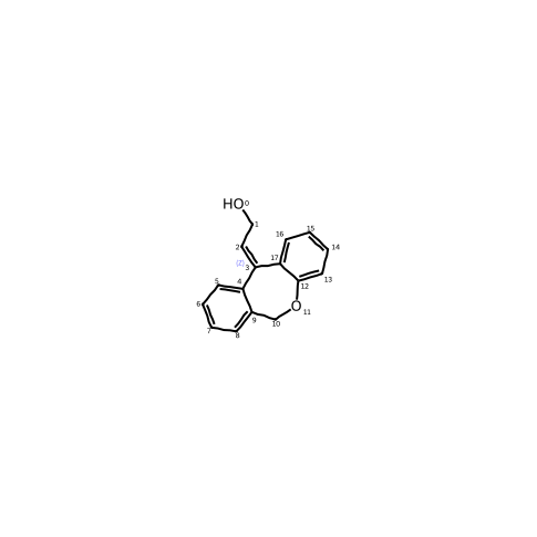 OC/C=C1/c2ccccc2COc2ccccc21